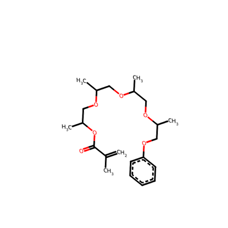 C=C(C)C(=O)OC(C)COC(C)COC(C)COC(C)COc1ccccc1